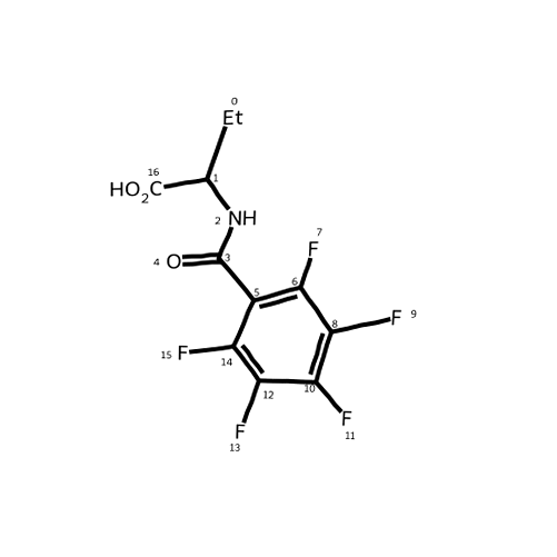 CCC(NC(=O)c1c(F)c(F)c(F)c(F)c1F)C(=O)O